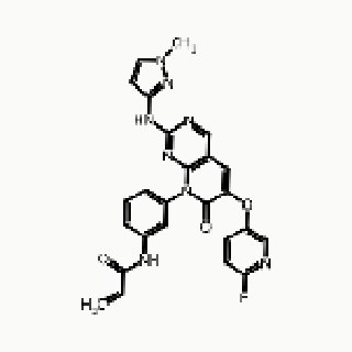 C=CC(=O)Nc1cccc(-n2c(=O)c(Oc3ccc(F)nc3)cc3cnc(Nc4ccn(C)n4)nc32)c1